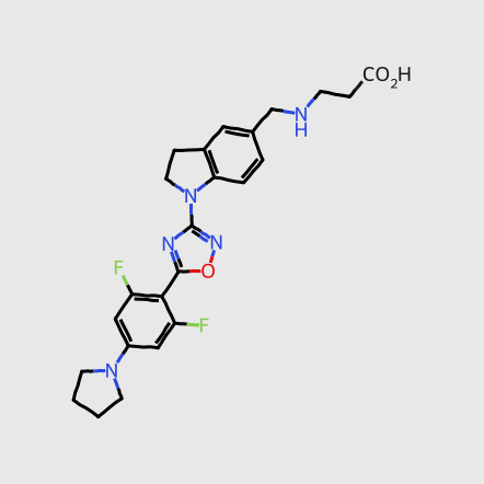 O=C(O)CCNCc1ccc2c(c1)CCN2c1noc(-c2c(F)cc(N3CCCC3)cc2F)n1